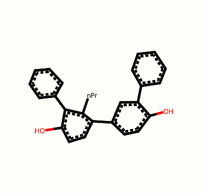 CCCc1c(-c2ccc(O)c(-c3ccccc3)c2)ccc(O)c1-c1ccccc1